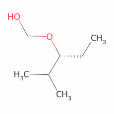 CC[C@@H](OCO)C(C)C